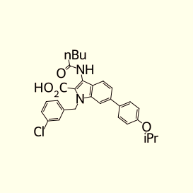 CCCCC(=O)Nc1c(C(=O)O)n(Cc2cccc(Cl)c2)c2cc(-c3ccc(OC(C)C)cc3)ccc12